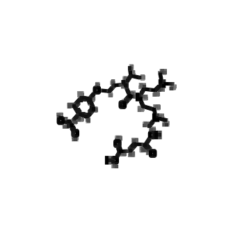 CC(C)N(CCOc1ccc([N+](=O)[O-])cc1)C(=O)N(CCN(C)C)CCN(C)C.O=C(O)C=CC(=O)O